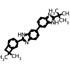 CC(C)(C)c1nc2ccc(-c3ccc4nc(-c5ccc6c(c5)C(C)(C)C6)[nH]c4c3)cc2[nH]1